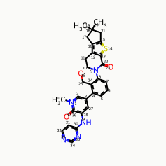 Cn1cc(-c2cccc(N3CCc4c(sc5c4CC(C)(C)C5)C3=O)c2C[O])cc(Nc2ccncn2)c1=O